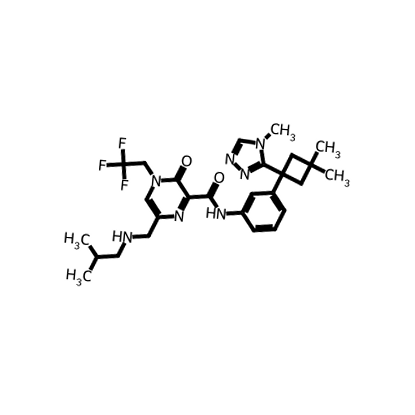 CC(C)CNCc1cn(CC(F)(F)F)c(=O)c(C(=O)Nc2cccc(C3(c4nncn4C)CC(C)(C)C3)c2)n1